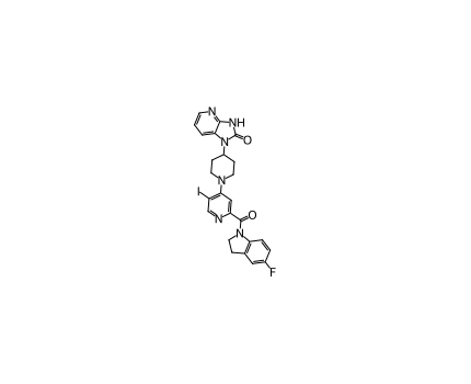 O=C(c1cc(N2CCC(n3c(=O)[nH]c4ncccc43)CC2)c(I)cn1)N1CCc2cc(F)ccc21